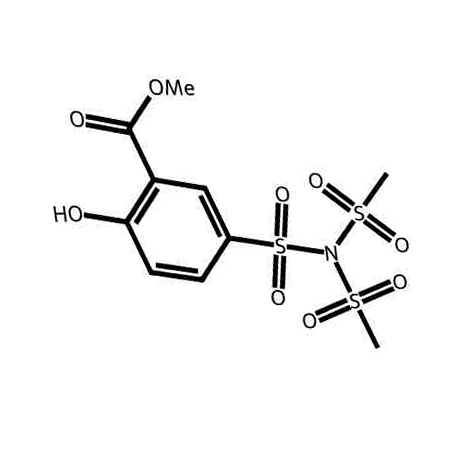 COC(=O)c1cc(S(=O)(=O)N(S(C)(=O)=O)S(C)(=O)=O)ccc1O